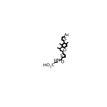 CC(=O)c1ccc(-c2c(C)cc3c(c2C)C(C)CC(c2ccc(C(=O)NCCC(=O)O)s2)O3)s1